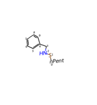 CCCCCSNCc1ccccc1